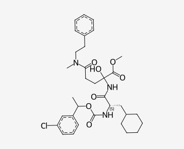 COC(=O)C(O)(CCC(=O)N(C)CCc1ccccc1)NC(=O)[C@H](CC1CCCCC1)NC(=O)OC(C)c1cccc(Cl)c1